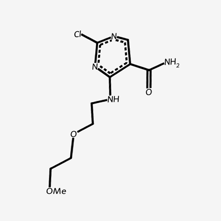 COCCOCCNc1nc(Cl)ncc1C(N)=O